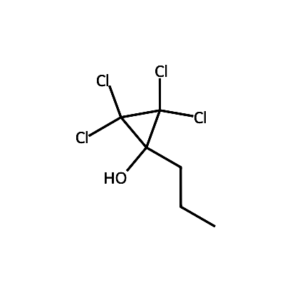 CCCC1(O)C(Cl)(Cl)C1(Cl)Cl